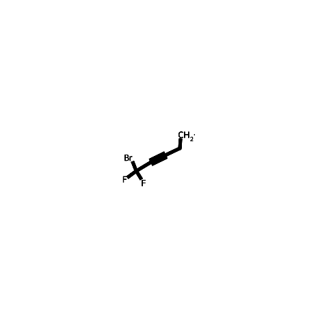 [CH2]CC#CC(F)(F)Br